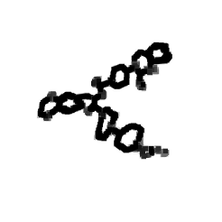 CN1CCC(N2CCN(C(=O)[C@@H](Cc3ccc4c(c3)OCCO4)OC(=O)N3CCC(N4CCc5ccccc5NC4=O)CC3)CC2)CC1